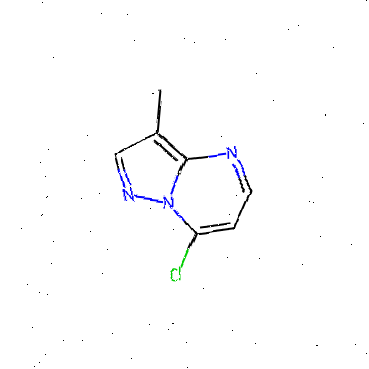 Cc1cnn2c(Cl)ccnc12